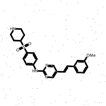 COc1cccc(/C=C/c2cnc(Nc3ccc(S(=O)(=O)C4CCNCC4)cc3)nc2)c1